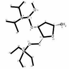 B[C@H]1C[C@@H](OP(OC)N(C(C)C)C(C)C)[C@@H](CO[Si](CC)(CC)CC)O1